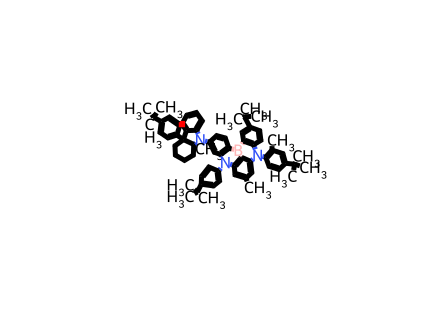 Cc1cc2c3c(c1)N(c1ccc(C(C)(C)C)cc1C)c1ccc(C(C)(C)C)cc1B3c1ccc(N3c4ccccc4C4(c5ccc(C(C)(C)C)cc5)CCCCC34C)cc1N2c1ccc(C(C)(C)C)cc1